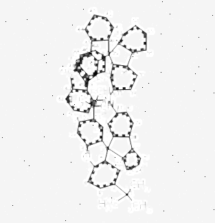 CC(C)(C)c1ccc2c(c1)C1(c3cc(C(C)(C)C)ccc3O2)c2ccccc2-c2ccc(N(c3ccc4c(c3)C3(c5ccccc5-c5ccccc53)c3ccccc3-4)c3cccc4sc5ccccc5c34)cc21